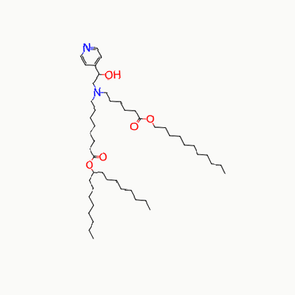 CCCCCCCCCCCOC(=O)CCCCCN(CCCCCCCC(=O)OC(CCCCCCCC)CCCCCCCC)CC(O)c1ccncc1